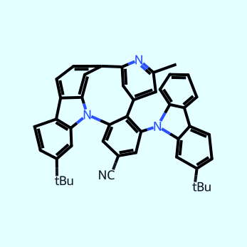 Cc1cc2cc(n1)c1ccc3c4ccc(C(C)(C)C)cc4n(c3c1)c1cc(C#N)cc(-n3c4ccccc4c4ccc(C(C)(C)C)cc43)c21